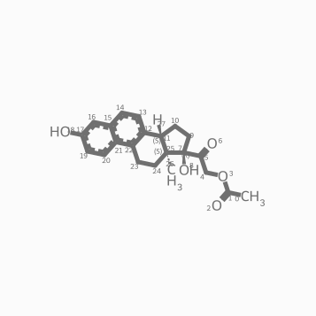 CC(=O)OCC(=O)[C@@]1(O)CC[C@H]2c3ccc4cc(O)ccc4c3CC[C@@]21C